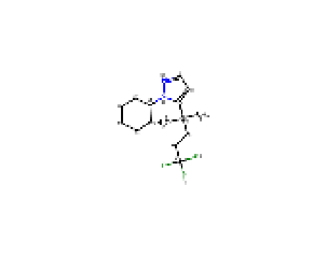 C[Si](C)(CCC(F)(F)F)c1ccnn1C1CCCCC1